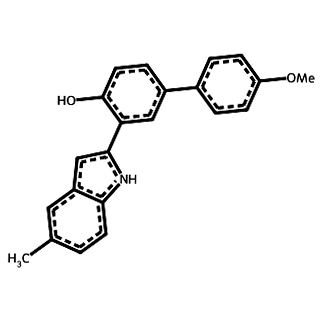 COc1ccc(-c2ccc(O)c(-c3cc4cc(C)ccc4[nH]3)c2)cc1